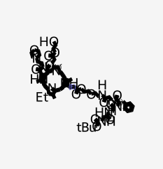 CCC1=C(C)c2cc3[nH]c(cc4nc(c5c6[nH]c(cc1n2)c(C)c6C(=O)N(CCN1CCOCC1)C5=O)[C@@H](CCC(=O)OCCO)[C@@H]4C)c(C)c3/C=C/C(=O)OCCOCCNC(=O)CNC(=O)[C@H](Cc1ccccc1)NC(=O)CNC(=O)CNC(=O)OC(C)(C)C